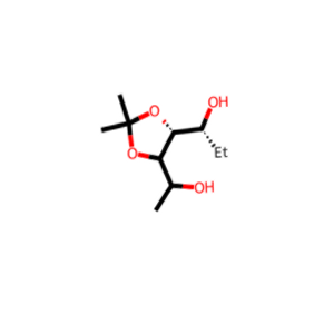 CC[C@@H](O)[C@H]1OC(C)(C)OC1C(C)O